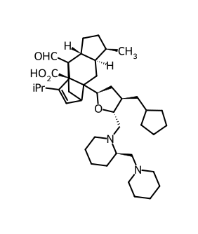 CC(C)C1=CC2CC3(C=O)[C@@H]4CC[C@@H](C)[C@H]4CC2([C@H]2C[C@@H](CC4CCCC4)[C@H](CN4CCCC[C@@H]4CN4CCCCC4)O2)[C@]13C(=O)O